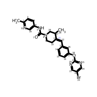 Cc1ccc(NC(=O)N2CC/C(=C\c3cccc(Oc4ncc(Br)cn4)c3)C(C)C2)cn1